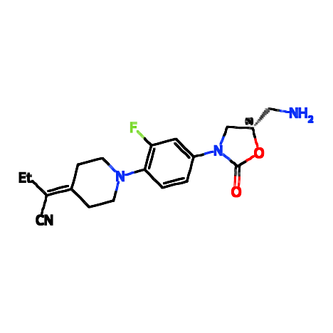 CCC(C#N)=C1CCN(c2ccc(N3C[C@H](CN)OC3=O)cc2F)CC1